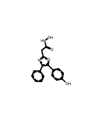 O=C(Cc1nc(-c2ccccc2)c(-c2ccc(O)cc2)o1)NO